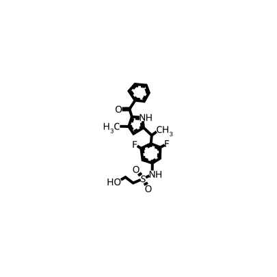 Cc1cc(C(C)c2c(F)cc(NS(=O)(=O)CCO)cc2F)[nH]c1C(=O)c1ccccc1